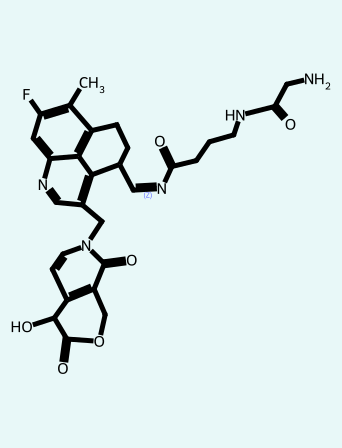 Cc1c(F)cc2ncc(Cn3ccc4c(c3=O)COC(=O)C4O)c3c2c1CCC3/C=N\C(=O)CCCNC(=O)CN